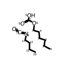 CCCCCCOC(=O)O.CCCCN=C=O